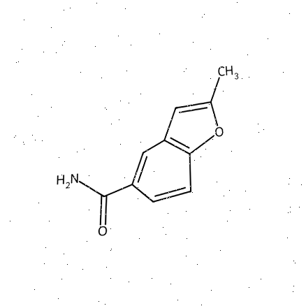 Cc1cc2cc(C(N)=O)ccc2o1